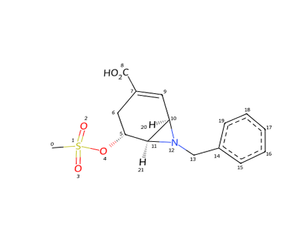 CS(=O)(=O)O[C@@H]1CC(C(=O)O)=C[C@@H]2[C@H]1N2Cc1ccccc1